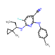 CC[C@@H](Nc1nc(Nc2ccc(C)cc2)c(C#N)cc1F)C1(C)CC1